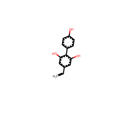 C=Cc1cc(O)c(-c2ccc(O)cc2)c(O)c1